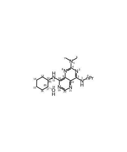 CCCNc1nc(N(C)C)nc2c(N[C@@H]3CCCC[C@H]3O)ncnc12